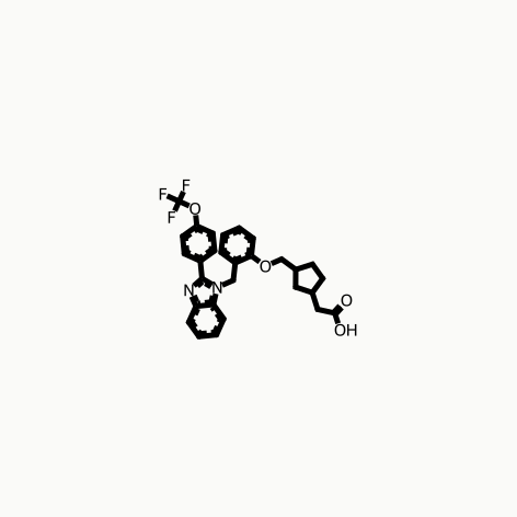 O=C(O)CC1CCC(COc2ccccc2Cn2c(-c3ccc(OC(F)(F)F)cc3)nc3ccccc32)C1